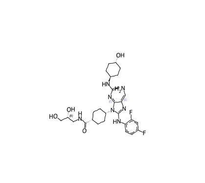 C=C(/N=C1\C(=C/N)N=C(Nc2ccc(F)cc2F)N1[C@H]1CC[C@@H](C(=O)NC[C@@H](O)CO)CC1)N[C@H]1CC[C@H](O)CC1